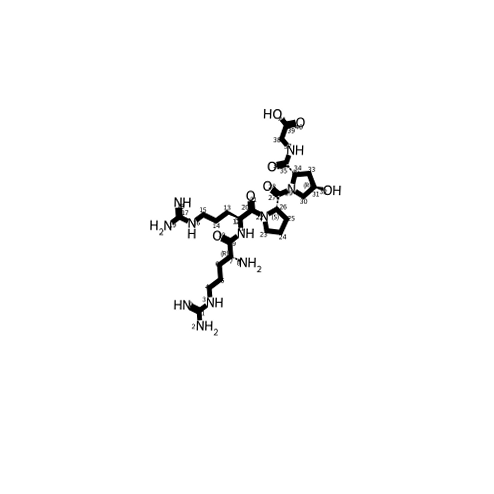 N=C(N)NCCC[C@@H](N)C(=O)N[C@@H](CCCNC(=N)N)C(=O)N1CCC[C@H]1C(=O)N1C[C@H](O)C[C@H]1C(=O)NCC(=O)O